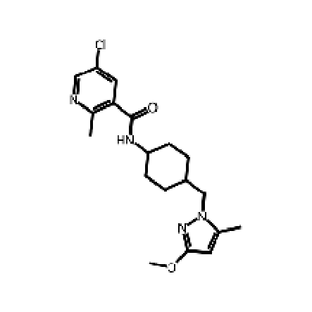 COc1cc(C)n(CC2CCC(NC(=O)c3cc(Cl)cnc3C)CC2)n1